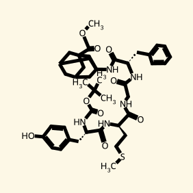 COC(=O)C12CC3CC(CC(NC(=O)[C@H](Cc4ccccc4)NC(=O)CNC(=O)[C@@H](CCSC)NC(=O)[C@H](Cc4ccc(O)cc4)NC(=O)OC(C)(C)C)(C3)C1)C2